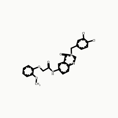 COc1ccccc1OCC(=O)Nc1ccc2ncn(Cc3ccc(Cl)c(Cl)c3)c(=O)c2c1